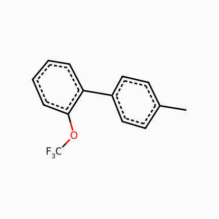 Cc1ccc(-c2ccccc2OC(F)(F)F)cc1